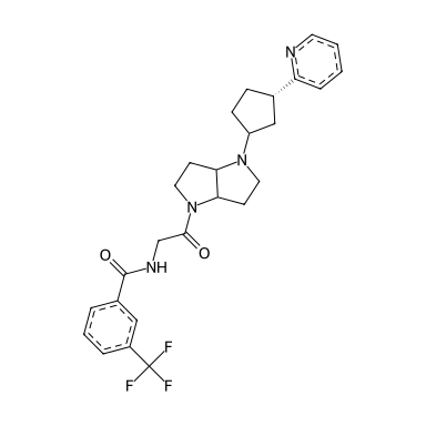 O=C(NCC(=O)N1CCC2C1CCN2C1CC[C@H](c2ccccn2)C1)c1cccc(C(F)(F)F)c1